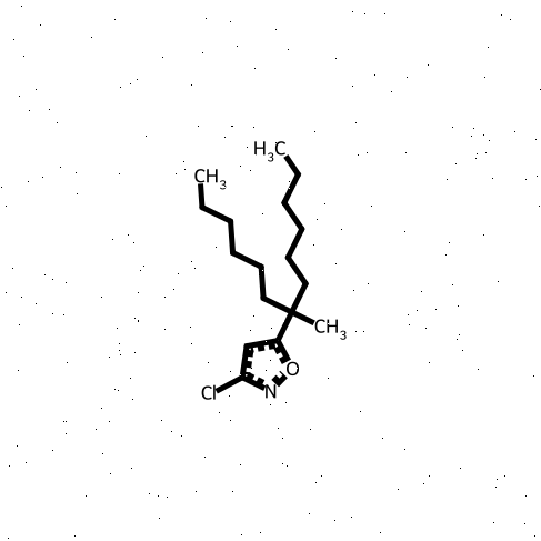 CCCCCCC(C)(CCCCCC)c1cc(Cl)no1